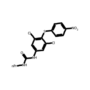 CCCNC(=O)Nc1cc(Cl)c(Sc2ccc([N+](=O)[O-])cc2)c(Cl)c1